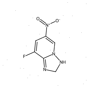 O=[N+]([O-])C1=CN2NCN=C2C(F)=C1